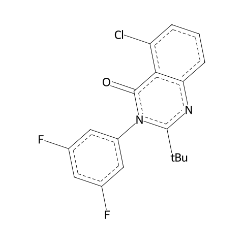 CC(C)(C)c1nc2cccc(Cl)c2c(=O)n1-c1cc(F)cc(F)c1